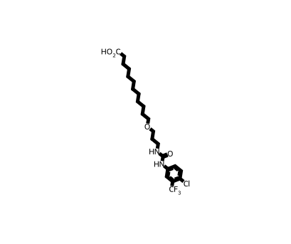 O=C(O)CCCCCCCCCCCOCCCNC(=O)Nc1ccc(Cl)c(C(F)(F)F)c1